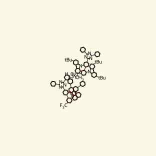 CC(C)(C)c1ccc2c(c1)c1cc(C(C)(C)C)ccc1n2-c1ccc(C(F)(F)F)cc1-c1ccc(-c2nc(-c3ccccc3)nc(-c3ccccc3)n2)cc1-n1c2ccc(C(C)(C)C)cc2c2cc(C(C)(C)Cc3cccc(-c4nc(-c5ccccc5)nc(-c5ccc(-c6cc(C(F)(F)F)ccc6-n6c7ccccc7c7cc(-c8ccccc8)ccc76)c(-n6c7ccccc7c7cc(-c8ccccc8)ccc76)c5)n4)c3)ccc21